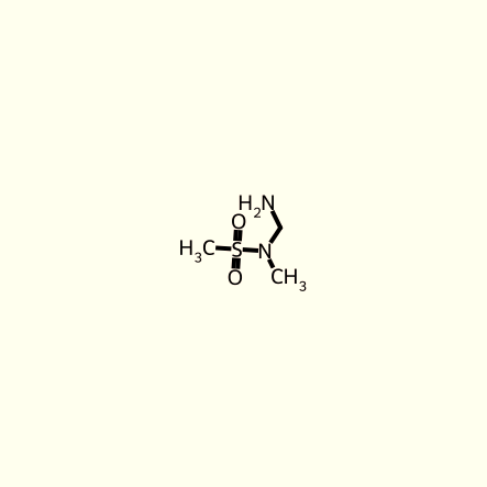 CN(CN)S(C)(=O)=O